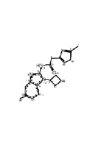 CC1=CC(CC(=O)Nc2nc3cc(C)cnc3n2C2CCC2)=CC1